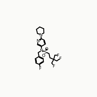 O=S(=O)(CCC(CF)(CF)CF)N(Cc1ccc(F)cc1)c1ccc(N2CCCCC2)nc1